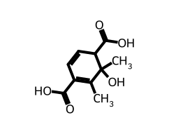 CC1=C(C(=O)O)C=CC(C(=O)O)C1(C)O